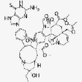 CC[C@]1(O)C[C@H]2C[N@](CCc3c([nH]c4ccccc34)[C@@](C(=O)OC)(c3cc4c(cc3OC)N(C=O)[C@H]3[C@@](O)(C(=O)OC)[C@H](OC(C)=O)[C@]5(CC)C=CCN6CC[C@]43[C@@H]65)C2)C1.Nc1nc2nc[nH]c2c(=S)[nH]1